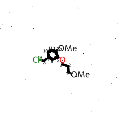 COCCCOc1cc(CCl)ccc1OC